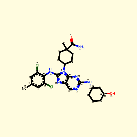 CC1(C(N)=O)CCC(n2c(Nc3c(Cl)cc(C#N)cc3Cl)nc3cnc(N[C@H]4CCC[C@H](O)C4)nc32)CC1